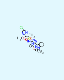 COCC1(n2c(NS(=O)(=O)C(C)C(OC)c3ncc(Cl)cn3)nnc2-c2nn(C)c3c2CCCC3)CCC1